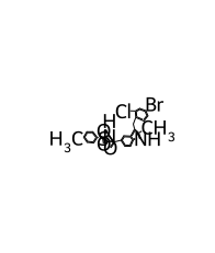 Cc1ccc(S(=O)(=O)NC(=O)c2ccc3[nH]c(C)c(Cc4ccc(Br)cc4Cl)c3c2)cc1